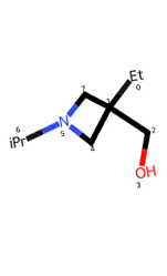 CCC1(CO)CN(C(C)C)C1